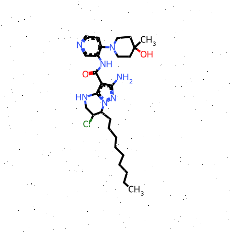 CCCCCCCCCC1C(Cl)CNc2c(C(=O)Nc3cnccc3N3CCC(C)(O)CC3)c(N)nn21